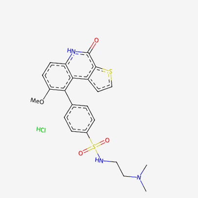 COc1ccc2[nH]c(=O)c3sccc3c2c1-c1ccc(S(=O)(=O)NCCN(C)C)cc1.Cl